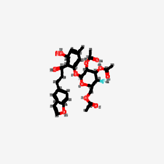 CC(=O)OCC1OC(Oc2cc(C)cc(O)c2C(=O)CCc2ccc3occc3c2)C(OC(C)=O)C(OC(C)=O)C1F